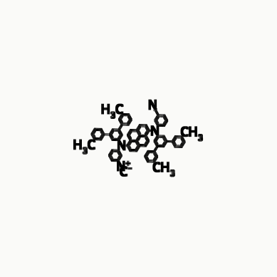 [C-]#[N+]c1cccc(N(c2cc(-c3cccc(C)c3)cc(-c3cccc(C)c3)c2)c2ccc3ccc4c(N(c5cccc(C#N)c5)c5cc(-c6cccc(C)c6)cc(-c6cccc(C)c6)c5)ccc5ccc2c3c54)c1